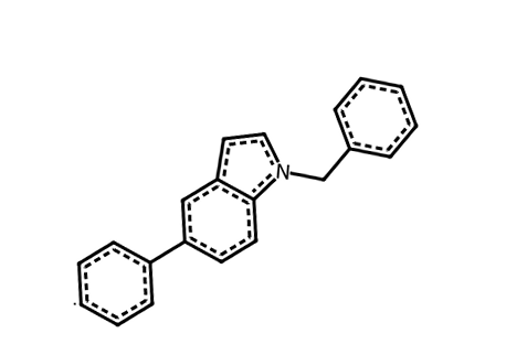 [c]1ccc(-c2ccc3c(ccn3Cc3ccccc3)c2)cc1